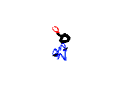 O=Cc1cccc(-n2cncn2)c1